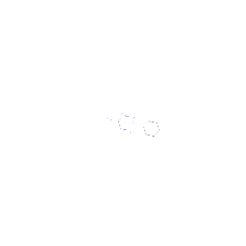 OC1CCN(c2cnc(-c3ccc(Cl)cc3)nn2)CC1